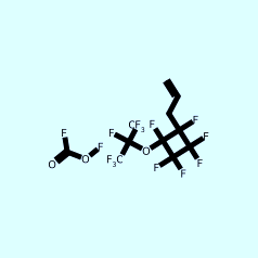 C=CCC1(F)C(F)(F)C(F)(F)C1(F)OC(F)(C(F)(F)F)C(F)(F)F.O=C(F)OF